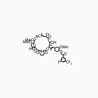 CCC1/C=C(\C)CC(C)CC(OC)C2OC(O)(C(=O)C(=O)N3CCCCC3C(=O)OC(C(C)=CC3CCC(OCC(=O)c4cc(F)cc(C(F)(F)F)c4)C(OC)C3)C(C)C(O)CC1=O)C(C)CC2OC